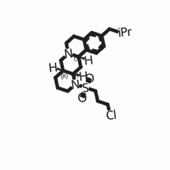 CC(C)Cc1ccc2c(c1)CCN1C[C@H]3CCCN(S(=O)(=O)CCCCl)[C@H]3C[C@@H]21